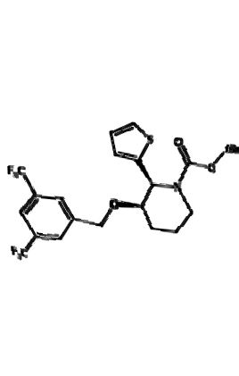 CC(C)(C)OC(=O)N1CCC[C@@H](OCc2cc(C(F)(F)F)cc(C(F)(F)F)c2)[C@H]1c1cccs1